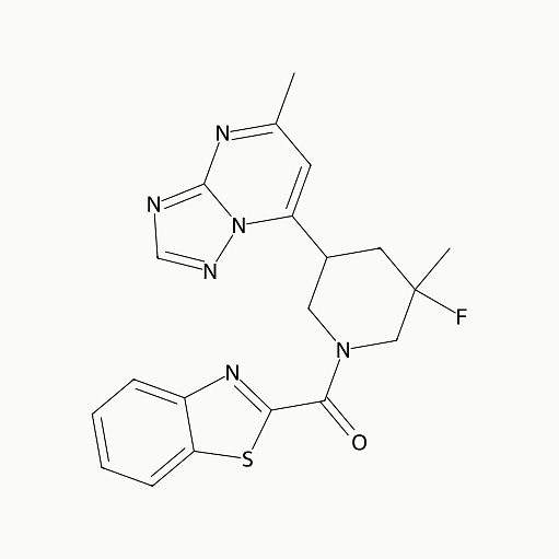 Cc1cc(C2CN(C(=O)c3nc4ccccc4s3)CC(C)(F)C2)n2ncnc2n1